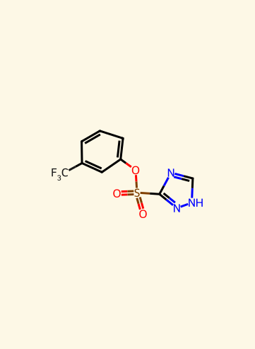 O=S(=O)(Oc1cccc(C(F)(F)F)c1)c1nc[nH]n1